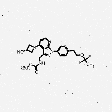 CC(C)(C)OC(=O)NCc1nn(-c2ccc(CCOC(C)(F)F)cc2)c2nccc(N3CC(C#N)C3)c12